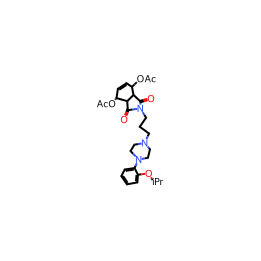 CC(=O)OC1C=CC(OC(C)=O)C2C(=O)N(CCCN3CCN(c4ccccc4OC(C)C)CC3)C(=O)C12